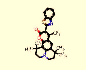 CC1(C)CCN2CCC(C)(C)c3c2c1cc1c(C(F)(F)F)c(-c2nc4ccccc4s2)c(=O)oc31